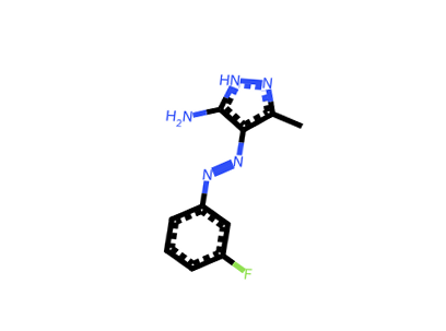 Cc1n[nH]c(N)c1N=Nc1cccc(F)c1